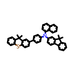 CC1(C)c2ccccc2Sc2ccc(-c3ccc(N(c4ccc5c(c4)C(C)(C)c4ccccc4-5)c4cccc5ccccc45)cc3)cc21